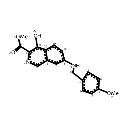 COC(=O)c1ncc2cc(NCc3ccc(OC)cc3)ccc2c1O